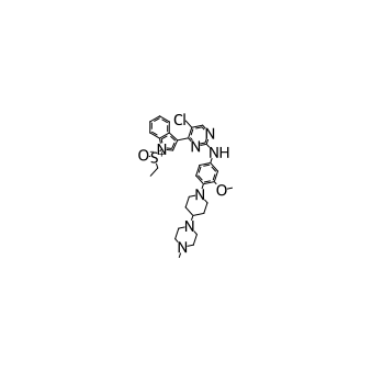 CC[S+]([O-])n1cc(-c2nc(Nc3ccc(N4CCC(N5CCN(C)CC5)CC4)c(OC)c3)ncc2Cl)c2ccccc21